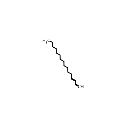 [CH]=CC=CCCCCCCCCCCCC